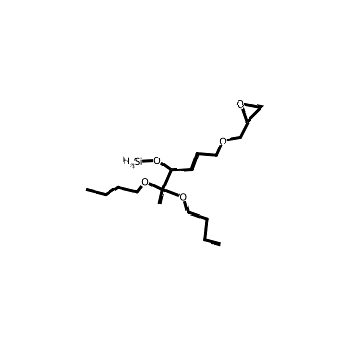 CCCCOC(C)(OCCCC)C(CCCOCC1CO1)O[SiH3]